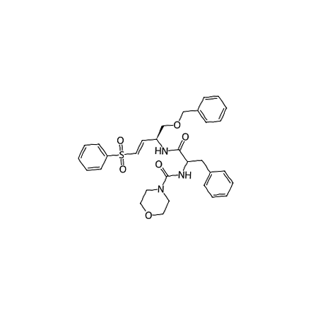 O=C(N[C@@H](/C=C/S(=O)(=O)c1ccccc1)COCc1ccccc1)C(Cc1ccccc1)NC(=O)N1CCOCC1